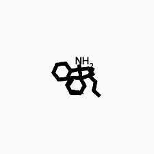 CCCC(C)C1(C(N)(CC)C2CCCCC2)C=CC=[C]C1